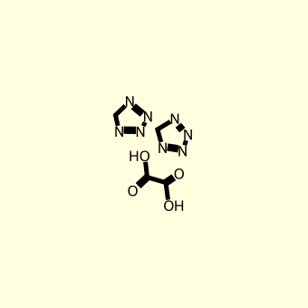 C1N=NN=N1.C1N=NN=N1.O=C(O)C(=O)O